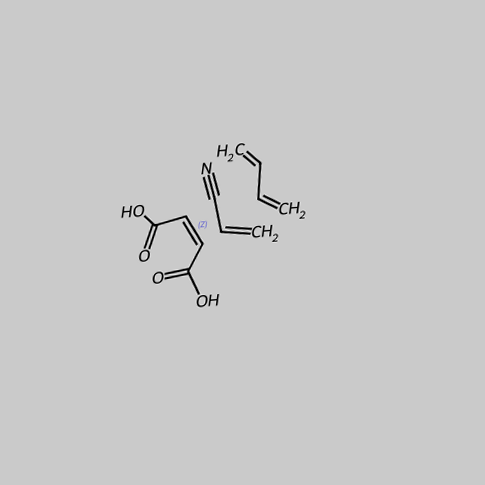 C=CC#N.C=CC=C.O=C(O)/C=C\C(=O)O